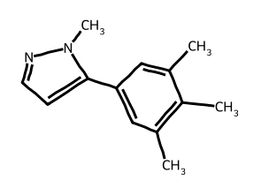 Cc1cc(-c2ccnn2C)cc(C)c1C